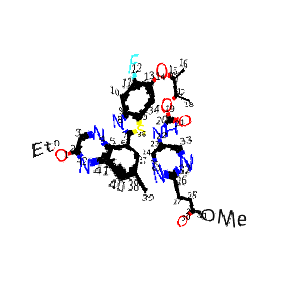 CCOc1cnc2c(-c3nc4cc(F)c(O[C@@H](C)[C@@H](C)OC(=O)Nc5cnc(CCC(=O)OC)nc5)cc4s3)cc(C)cc2n1